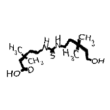 CC(C)(CCO)CCNC(=S)NCCC(C)(C)CC(=O)O